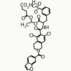 CC(OC(=O)CCC(=O)O)OC(=O)C(Cc1cccc(S(C)(=O)=O)c1)NC(=O)c1c(Cl)cc2c(c1Cl)CCN(C(=O)c1ccc3ccoc3c1)C2